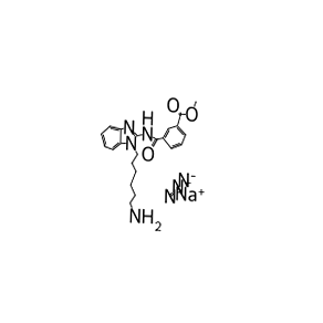 COC(=O)c1cccc(C(=O)Nc2nc3ccccc3n2CCCCCCN)c1.[N-]=[N+]=[N-].[Na+]